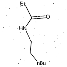 CCCCC[CH]NC(=O)CC